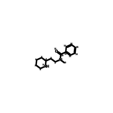 CN(CCC1CCCCN1)C(=O)c1ccccc1